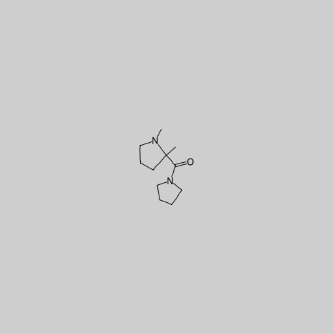 CN1CCCC1(C)C(=O)N1CCCC1